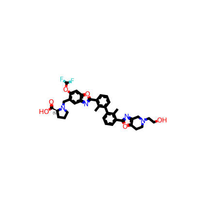 Cc1c(-c2nc3c(o2)CCN(CCO)C3)cccc1-c1cccc(-c2nc3cc(CN4CCC[C@H]4C(=O)O)c(OC(F)F)cc3o2)c1C